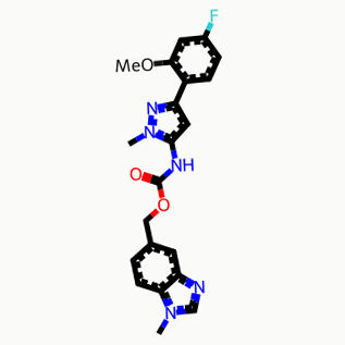 COc1cc(F)ccc1-c1cc(NC(=O)OCc2ccc3c(c2)ncn3C)n(C)n1